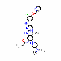 C=CC(=O)Nc1cc(Nc2nccc(Nc3ccc(OCc4ccccn4)c(Cl)c3)n2)c(OC)cc1N1CCC(N(C)C)CC1